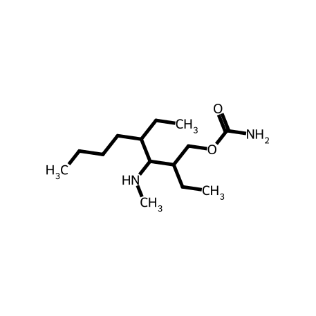 CCCCC(CC)C(NC)C(CC)COC(N)=O